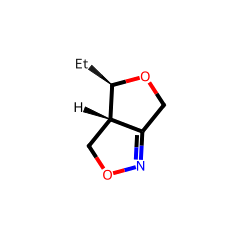 CC[C@H]1OCC2=NOC[C@@H]21